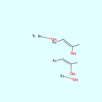 CC(=O)C=C(C)O.CC(=O)C=C(C)O.CC(C)O.CCO.[Ti]